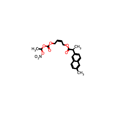 Cc1ccc2cc([C@H](C)C(=O)OC/C=C\COC(=O)OC(C)O[N+](=O)[O-])ccc2c1